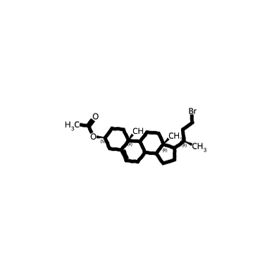 CC(=O)O[C@H]1CC[C@@]2(C)C(=CCC3C4CCC([C@H](C)CCBr)[C@@]4(C)CCC32)C1